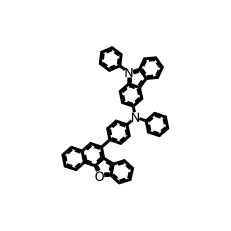 c1ccc(N(c2ccc(-c3cc4ccccc4c4oc5ccccc5c34)cc2)c2ccc3c(c2)c2ccccc2n3-c2ccccc2)cc1